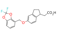 O=C(O)CC1CCc2cc(OCc3cccc4c3OC(F)(F)O4)ccc21